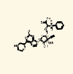 C#C[C@@]1(O)[C@@H](COC(C(=O)O)S(=O)(=O)c2ccccc2)O[C@@H](n2cnc3c(C4CNCCO4)nc(Cl)nc32)[C@@H]1O